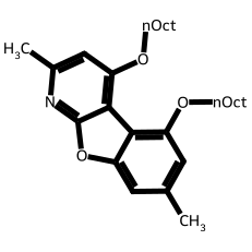 CCCCCCCCOc1cc(C)cc2oc3nc(C)cc(OCCCCCCCC)c3c12